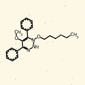 CCCCCCON1NN=C(c2ccccc2)C(OC)=C1c1ccccc1